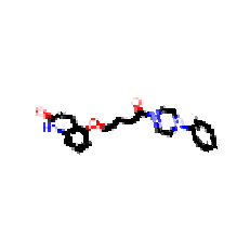 O=C1CCc2c(cccc2OCCCC(=O)N2CCN(c3ccccc3)CC2)N1